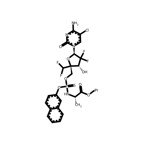 CC(C)OC(=O)[C@H](C)NP(=S)(OC[C@@]1(C(F)F)O[C@@H](n2cc(Cl)c(N)nc2=O)C(F)(F)[C@@H]1O)Oc1ccc2ccccc2c1